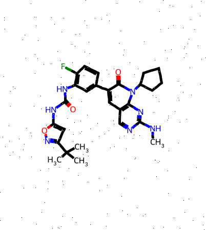 CNc1ncc2cc(-c3ccc(F)c(NC(=O)Nc4cc(C(C)(C)C)no4)c3)c(=O)n(C3CCCC3)c2n1